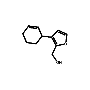 OCc1occc1C1C=CCCC1